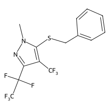 Cn1nc(C(F)(F)C(F)(F)F)c(C(F)(F)F)c1SCc1ccccc1